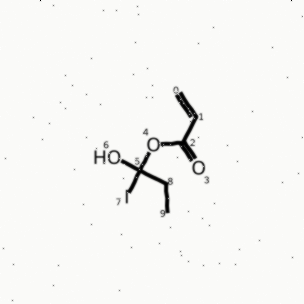 C=CC(=O)OC(O)(I)CC